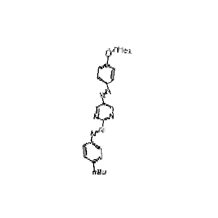 CCCCCCOc1ccc(N=Nc2cnc(N=Nc3ccc(CCCC)cc3)nc2)cc1